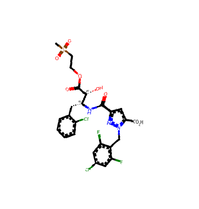 CS(=O)(=O)CCOC(=O)[C@H](O)[C@@H](Cc1ccccc1Cl)NC(=O)c1cc(C(=O)O)n(Cc2c(F)cc(Cl)cc2F)n1